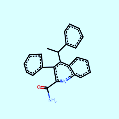 CC(c1ccccc1)c1c(-c2ccccc2)c(C(N)=O)nc2ccccc12